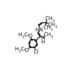 CN/C(=C\N/C=C\C(C)(C)C)c1cc(Cl)c(OC)cc1OC